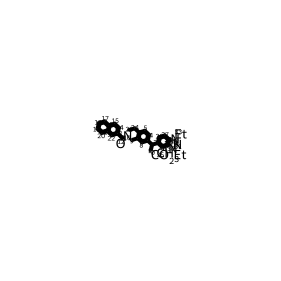 CCOC(=O)CC(c1ccc2c(c1)CN(C(=O)c1ccc3ccccc3c1)CC2)c1ccc2c(nnn2CC)c1C